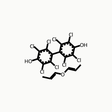 CC=COC=CC.Oc1c(Cl)c(Cl)c(-c2c(Cl)c(Cl)c(O)c(Cl)c2Cl)c(Cl)c1Cl